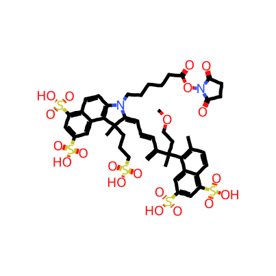 C=C(/C=C/C=C1/N(CCCCCC(=O)ON2C(=O)CCC2=O)c2ccc3c(S(=O)(=O)O)cc(S(=O)(=O)O)cc3c2C1(C)CCCS(=O)(=O)O)C(C)(CCOC)c1c(C)ccc2c(S(=O)(=O)O)cc(S(=O)(=O)O)cc12